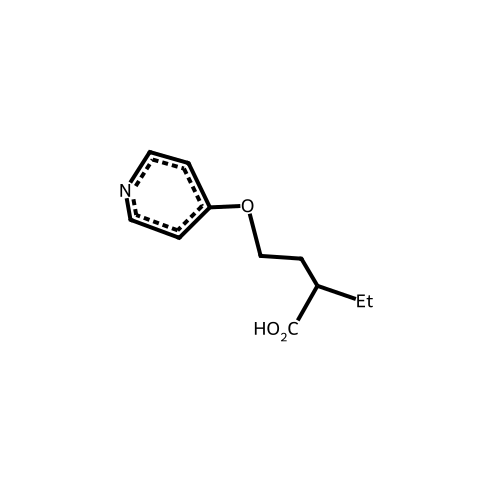 CCC(CCOc1ccncc1)C(=O)O